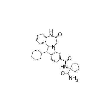 NC(=O)C1(NC(=O)c2ccc3c(c2)N2CC(=O)Nc4ccccc4C2C3C2CCCCC2)CCCC1